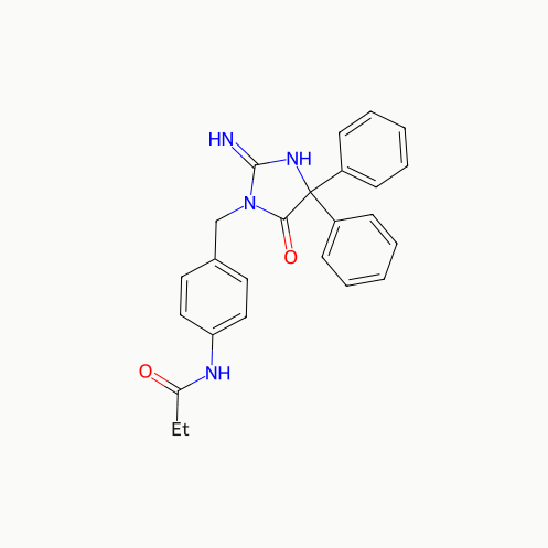 CCC(=O)Nc1ccc(CN2C(=N)NC(c3ccccc3)(c3ccccc3)C2=O)cc1